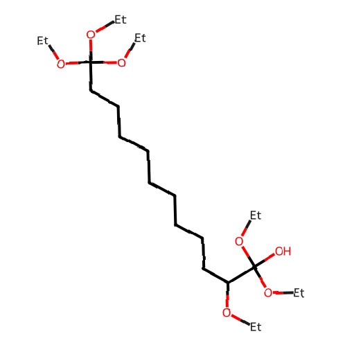 CCOC(CCCCCCCCCC(OCC)(OCC)OCC)C(O)(OCC)OCC